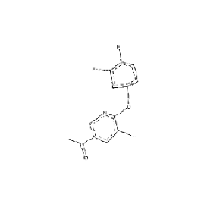 CC(=O)c1cnc(Oc2ccc(F)c(F)c2)c(C)c1